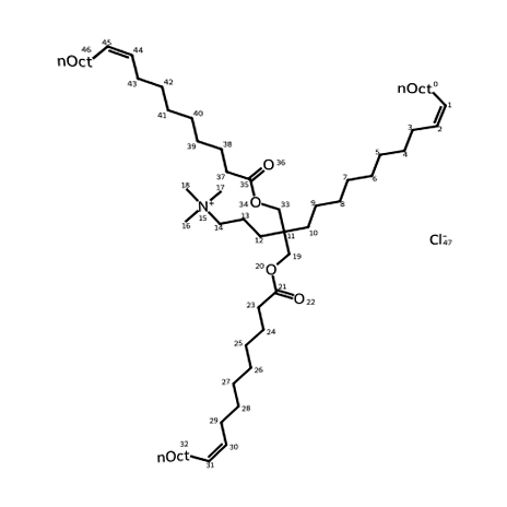 CCCCCCCC/C=C\CCCCCCCCC(CCC[N+](C)(C)C)(COC(=O)CCCCCCC/C=C\CCCCCCCC)COC(=O)CCCCCCC/C=C\CCCCCCCC.[Cl-]